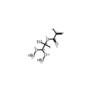 C=C(C)C(=O)OC(C)(CC)C(OCCCC)OCCCC